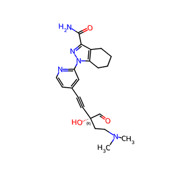 CN(C)CC[C@@](O)(C#Cc1ccnc(-n2nc(C(N)=O)c3c2CCCC3)c1)C=O